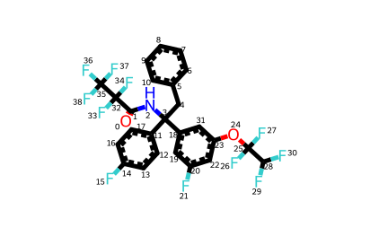 O=C(NC(Cc1ccccc1)(c1ccc(F)cc1)c1cc(F)cc(OC(F)(F)C(F)F)c1)C(F)(F)C(F)(F)F